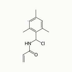 C=CC(=O)NC(Cl)c1c(C)[c]c(C)cc1C